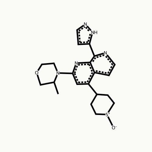 CC1COCCN1c1cc(C2CC[S+]([O-])CC2)c2ccnc(-c3ccn[nH]3)c2n1